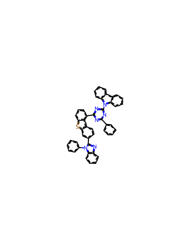 c1ccc(-c2nc(-c3cccc4sc5cc(-c6nc7ccccc7n6-c6ccccc6)ccc5c34)nc(-n3c4ccccc4c4ccccc43)n2)cc1